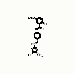 COc1ccc(Cl)c(C(=O)N[C@H]2CC[C@H](CNc3nc(C)c(C)s3)CC2)c1